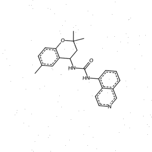 Cc1ccc2c(c1)C(NC(=O)Nc1cccc3cnccc13)CC(C)(C)O2